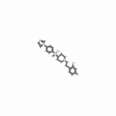 O=S(=O)(c1ccc(-n2ccnc2)cc1)C1CCN(CCc2ccc(F)cc2F)CC1